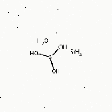 O.OB(O)O.[SrH2]